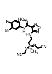 CS(CCNc1nonc1/C(=N/O)Nc1ccc(F)c(Br)c1)(=NCC#N)=NCC#N